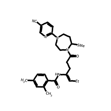 CC/C=C(\CCC(=O)N1CCN(c2ccc(C#N)cn2)CCC1SC)NC(=O)c1ccc(C)cc1C